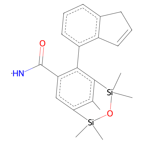 Cc1c2cc(C([NH])=O)c(-c3cccc4c3C=CC4)c1[Si](C)(C)O[Si]2(C)C